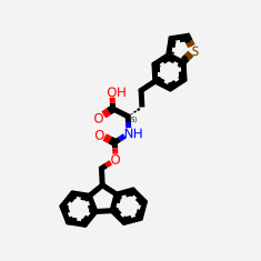 O=C(N[C@@H](CCc1ccc2sccc2c1)C(=O)O)OCC1c2ccccc2-c2ccccc21